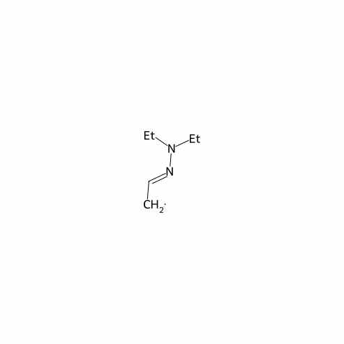 [CH2]C=NN(CC)CC